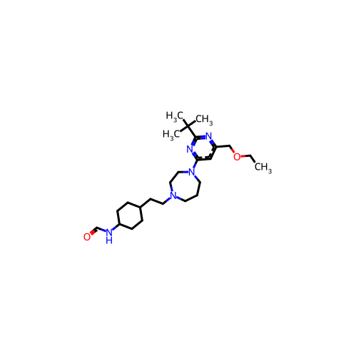 CCOCc1cc(N2CCCN(CCC3CCC(NC=O)CC3)CC2)nc(C(C)(C)C)n1